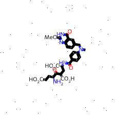 COc1nc2ccc(CN(C)c3ccc(C(=O)N[C@H](CC(C(=O)O)C(=O)[C@H](N)CCC(=O)O)C(=O)O)cc3)cc2c(=O)[nH]1